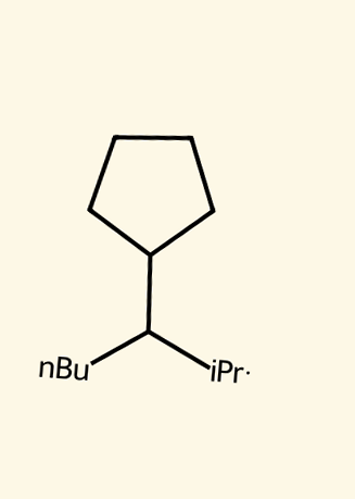 CCCCC([C](C)C)C1CCCC1